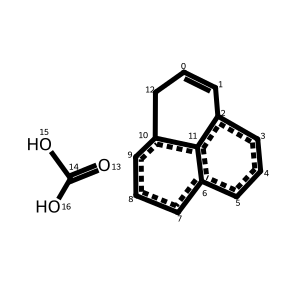 C1=Cc2cccc3cccc(c23)C1.O=C(O)O